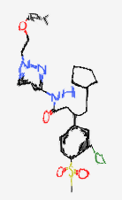 CC(C)OCCn1ccc(NC(=O)C(CC2CCCC2)c2ccc(S(C)(=O)=O)c(Cl)c2)n1